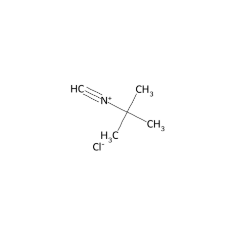 C#[N+]C(C)(C)C.[Cl-]